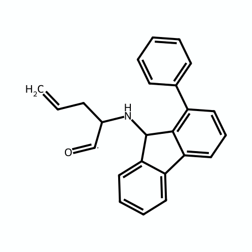 C=CCC([C]=O)NC1c2ccccc2-c2cccc(-c3ccccc3)c21